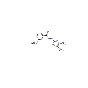 COc1cccc(C(=O)/C=C/c2ccc(C)c(C(F)(F)F)c2)c1